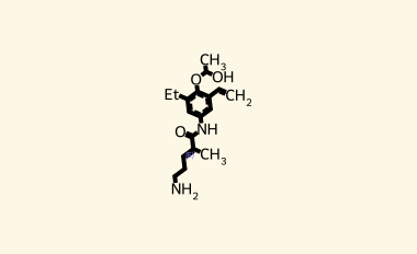 C=Cc1cc(NC(=O)/C(C)=C/CCN)cc(CC)c1OC(C)O